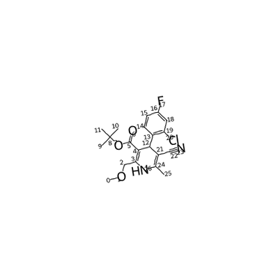 COCC1=C(C(=O)OC(C)(C)C)C(c2ccc(F)cc2Cl)C(C#N)=C(C)N1